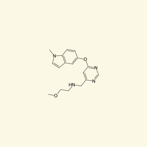 COCCNCc1cc(Oc2ccc3c(ccn3C)c2)ncn1